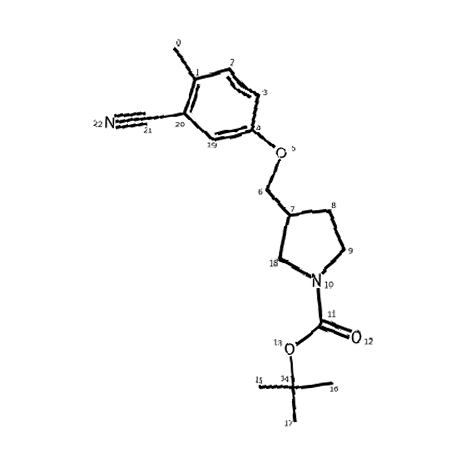 Cc1ccc(OCC2CCN(C(=O)OC(C)(C)C)C2)cc1C#N